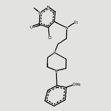 CCN(CCN1CCN(c2ccccc2OC)CC1)c1cnn(C)c(=O)c1Cl